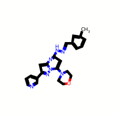 Cc1cccc(/C=N/Nc2cc(N3CCOCC3)n3nc(-c4cccnc4)cc3n2)c1